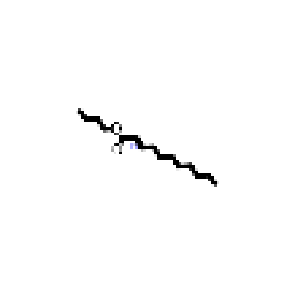 CCCCCCCC/C=C/C(=O)OCCCC